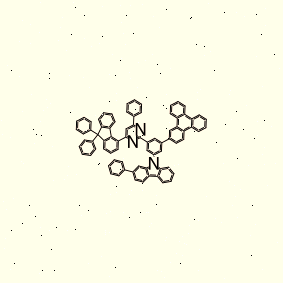 c1ccc(-c2ccc3c4ccccc4n(-c4cc(-c5ccc6c7ccccc7c7ccccc7c6c5)cc(-c5nc(-c6ccccc6)cc(-c6cccc7c6-c6ccccc6C7(c6ccccc6)c6ccccc6)n5)c4)c3c2)cc1